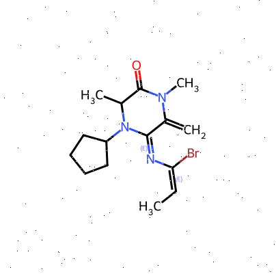 C=C1/C(=N\C(Br)=C/C)N(C2CCCC2)C(C)C(=O)N1C